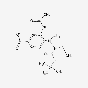 CCN(C(=O)OC(C)(C)C)N(C)c1ccc([N+](=O)[O-])cc1NC(C)=O